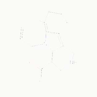 O=C(C1CNCC2=C3CCCC4=C3N(CC=CS4)C21)C(F)(F)F